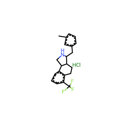 Cc1cccc(CC2NCC3c4cccc(C(F)(F)F)c4CCC23)c1.Cl